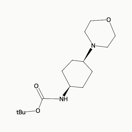 CC(C)(C)OC(=O)N[C@H]1CC[C@@H](N2CCOCC2)CC1